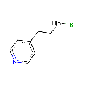 [Br][InH][CH2]Cc1ccncc1